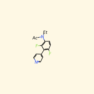 CCN(C(C)=O)c1ccc(F)c(-c2ccncc2)c1F